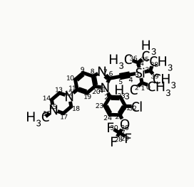 CC(C)[Si](C#Cc1nc2ccc(N3CCN(C)CC3)cc2n1-c1ccc(OC(F)(F)F)c(Cl)c1)(C(C)C)C(C)C